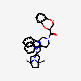 Cc1nc2ccccc2n1[C@H]1C[C@H]2CC[C@@H](C1)N2CCC1(c2ccccc2)CCN(C(=O)C2COc3ccccc3O2)CC1